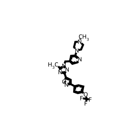 Cc1nc(-c2cc(-c3ccc(OC(F)(F)F)cc3)no2)nn1Cc1ccnc(N2CCN(C)CC2)c1